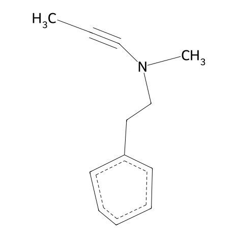 CC#CN(C)CCc1ccccc1